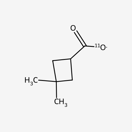 CC1(C)CC(C(=O)[11O])C1